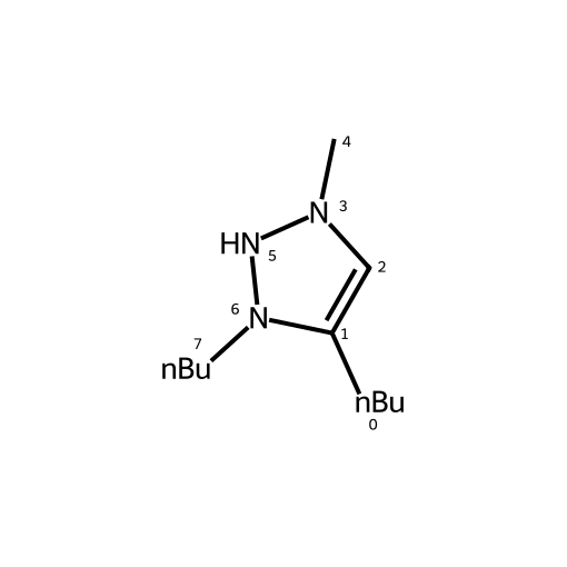 CCCCC1=CN(C)NN1CCCC